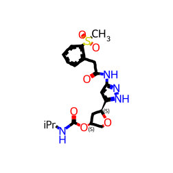 CC(C)NC(=O)O[C@@H]1CO[C@H](c2cc(NC(=O)Cc3ccccc3S(C)(=O)=O)n[nH]2)C1